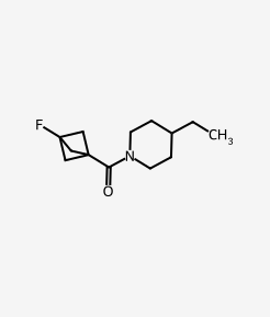 CCC1CCN(C(=O)C23CC(F)(C2)C3)CC1